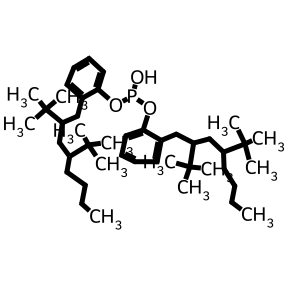 CCCCC(CC(Cc1ccccc1OP(O)Oc1ccccc1CC(CC(CCCC)C(C)(C)C)C(C)(C)C)C(C)(C)C)C(C)(C)C